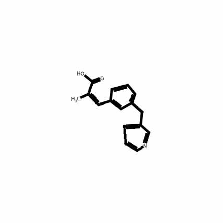 CC(=Cc1cccc(Cc2cccnc2)c1)C(=O)O